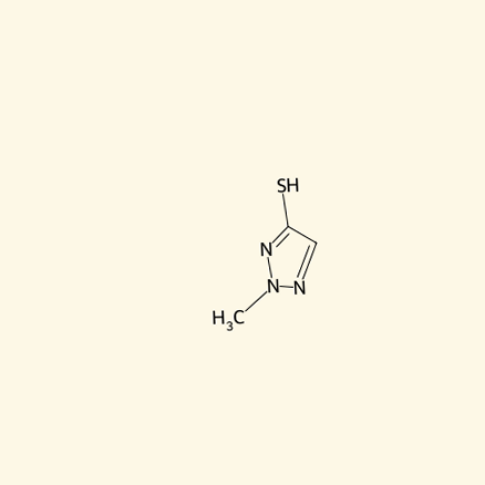 Cn1ncc(S)n1